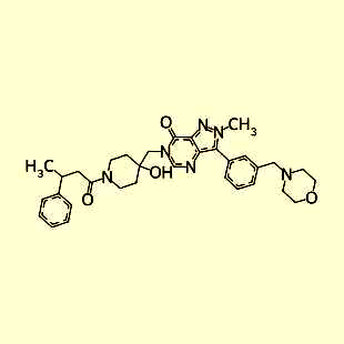 CC(CC(=O)N1CCC(O)(Cn2cnc3c(-c4cccc(CN5CCOCC5)c4)n(C)nc3c2=O)CC1)c1ccccc1